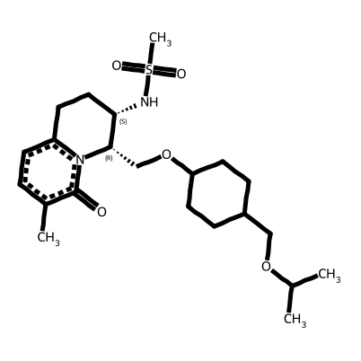 Cc1ccc2n(c1=O)[C@@H](COC1CCC(COC(C)C)CC1)[C@@H](NS(C)(=O)=O)CC2